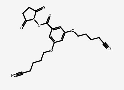 C#CCCCCOc1cc(OCCCCC#C)cc(C(=O)ON2C(=O)CCC2=O)c1